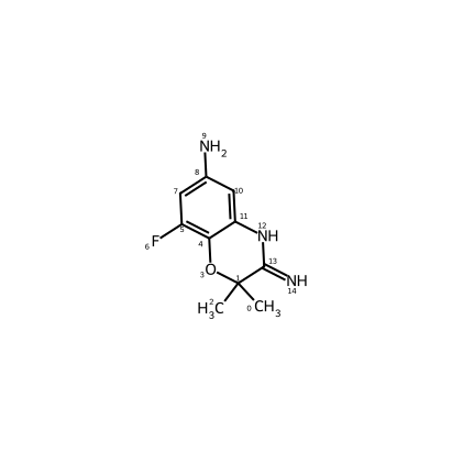 CC1(C)Oc2c(F)cc(N)cc2NC1=N